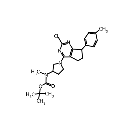 Cc1ccc(C2CCc3c2nc(Cl)nc3N2CCC(N(C)C(=O)OC(C)(C)C)C2)cc1